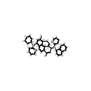 CC1=CC(N(c2ccccn2)c2cccc3ccccc23)C2=CCc3c(C)cc(N(c4ccccc4)c4ccccn4)c4ccc1c2c34